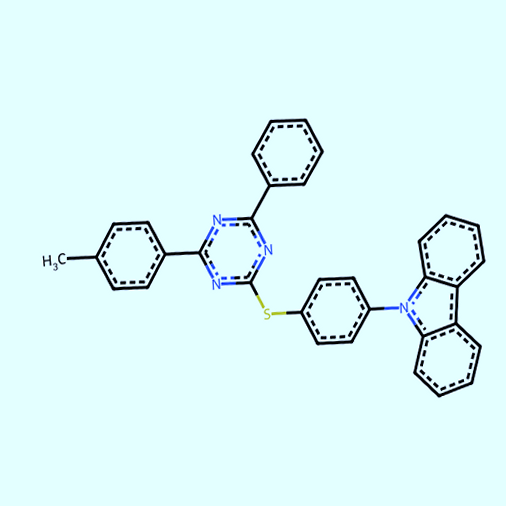 Cc1ccc(-c2nc(Sc3ccc(-n4c5ccccc5c5ccccc54)cc3)nc(-c3ccccc3)n2)cc1